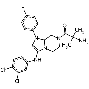 CC(C)(N)C(=O)N1CCN2C(Nc3ccc(Cl)c(Cl)c3)=CN(c3ccc(F)cc3)C2C1